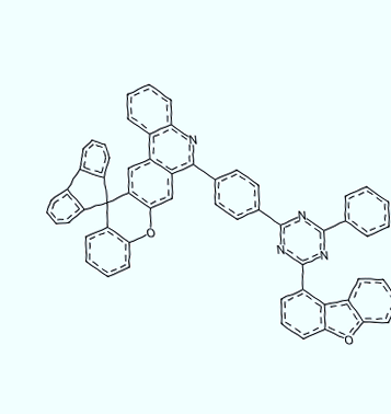 c1ccc(-c2nc(-c3ccc(-c4nc5ccccc5c5cc6c(cc45)Oc4ccccc4C64c5ccccc5-c5ccccc54)cc3)nc(-c3cccc4oc5ccccc5c34)n2)cc1